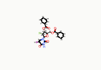 O=C(OC[C@H]1OC(n2cc(I)c(=O)[nH]c2=O)[C@@H](F)[C@@H]1OC(=O)c1ccccc1)c1ccccc1